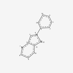 c1ccc(-n2cc3ncccc3n2)cc1